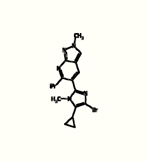 CC(C)c1nc2nn(C)cc2cc1-c1nc(Br)c(C2CC2)n1C